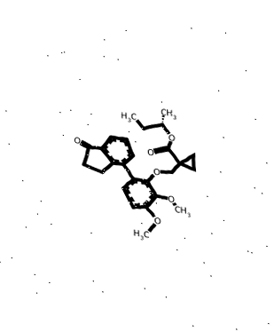 CC[C@H](C)OC(=O)C1(COc2c(-c3cccc4c3CCC4=O)ccc(OC)c2OC)CC1